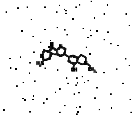 CCN1CCc2cc(-c3cnc4[nH]c5cnc(N)cc5c4c3)cc(O)c2C1